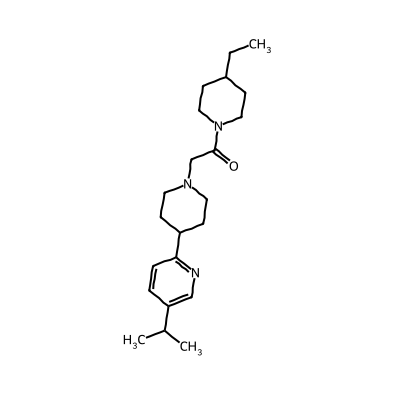 CCC1CCN(C(=O)CN2CCC(c3ccc(C(C)C)cn3)CC2)CC1